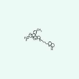 Cc1ccc([C@H]2CCC3(CO2)CC(F)(F)C3)c([C@@H](C(=O)O)N2CC[C@@H](OCCCCc3ccc4c(n3)NCCC4)C2)c1